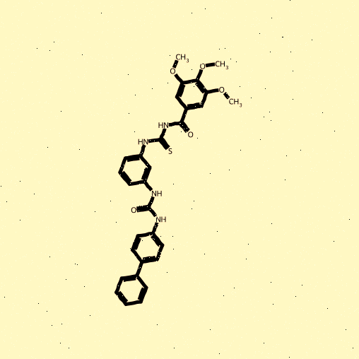 COc1cc(C(=O)NC(=S)Nc2cccc(NC(=O)Nc3ccc(-c4ccccc4)cc3)c2)cc(OC)c1OC